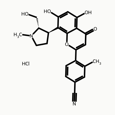 Cc1cc(C#N)ccc1-c1cc(=O)c2c(O)cc(O)c([C@H]3CCN(C)[C@@H]3CO)c2o1.Cl